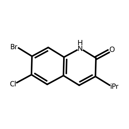 CC(C)c1cc2cc(Cl)c(Br)cc2[nH]c1=O